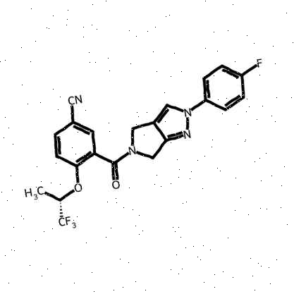 C[C@H](Oc1ccc(C#N)cc1C(=O)N1Cc2cn(-c3ccc(F)cc3)nc2C1)C(F)(F)F